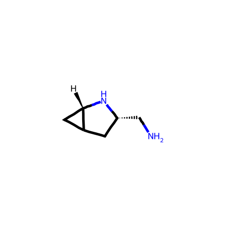 NC[C@@H]1CC2C[C@@H]2N1